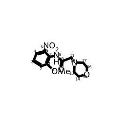 COc1cccc([N+](=O)[O-])c1NC(=O)CN1CCOCC1